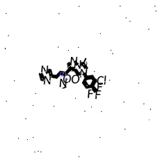 C=NO/C(=C\Cc1cnccn1)c1cnn2c1C(=O)N(c1ccc(C(F)(F)F)c(Cl)c1)C[C@@H]2C